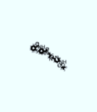 CC(C)(C)OC(=O)Nc1ccc(-c2ncc(CNC(=O)c3ccc4c(c3)NC(=O)c3ccccc3S4)s2)nc1